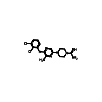 N=C(N)N1CCN(c2cnc(Sc3cccc(Cl)c3Cl)c(N)n2)CC1